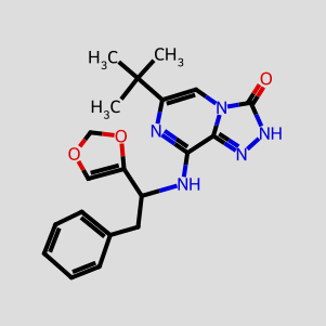 CC(C)(C)c1cn2c(=O)[nH]nc2c(NC(Cc2ccccc2)C2=COCO2)n1